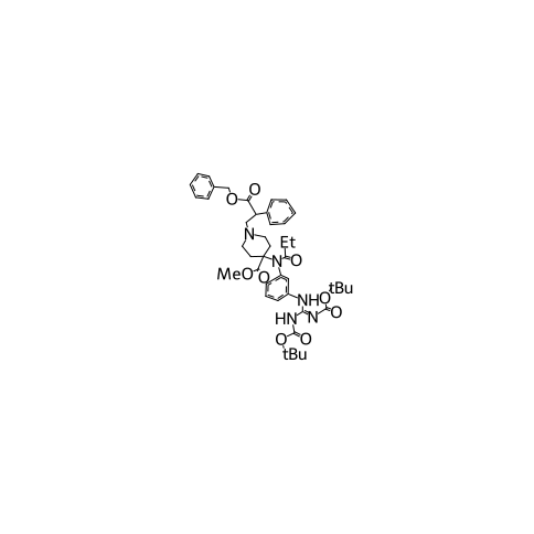 CCC(=O)N(c1cccc(NC(=NC(=O)OC(C)(C)C)NC(=O)OC(C)(C)C)c1)C1(C(=O)OC)CCN(CC(C(=O)OCc2ccccc2)c2ccccc2)CC1